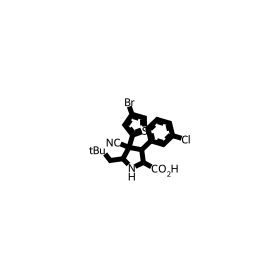 CC(C)(C)CC1NC(C(=O)O)C(c2cccc(Cl)c2)C1(C#N)c1cc(Br)cs1